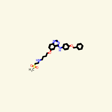 CS(=O)(=O)CCNCCCCOc1ccc2ncnc(Nc3ccc(OCc4ccccc4)cc3)c2c1